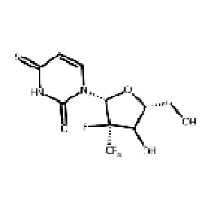 O=c1[nH]c(=S)ccn1[C@@H]1O[C@H](CO)C(O)[C@]1(F)C(F)(F)F